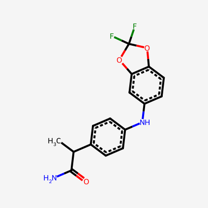 CC(C(N)=O)c1ccc(Nc2ccc3c(c2)OC(F)(F)O3)cc1